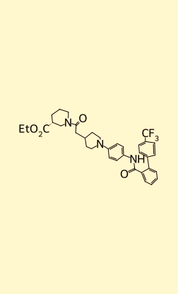 CCOC(=O)[C@@H]1CCCN(C(=O)CC2CCN(c3ccc(NC(=O)c4ccccc4-c4ccc(C(F)(F)F)cc4)cc3)CC2)C1